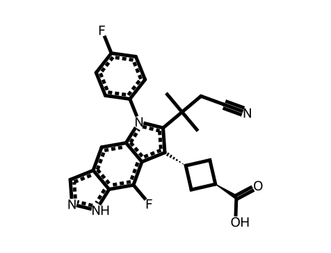 CC(C)(CC#N)c1c([C@H]2C[C@H](C(=O)O)C2)c2c(F)c3[nH]ncc3cc2n1-c1ccc(F)cc1